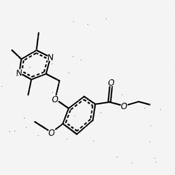 CCOC(=O)c1ccc(OC)c(OCc2nc(C)c(C)nc2C)c1